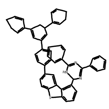 C1=CC(C2=CC(c3ccc(-c4ccc5sc6cccc(C7N=C(c8ccccc8)N=C(c8ccccc8)N7)c6c5c4)cc3)=CC(C3=CCCC=C3)C2)=CCC1